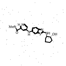 C=C(/C=C(\C=C/N)Nc1ccc2nc(N[C@@H]3CCCC[C@H]3O)sc2c1)C(=O)NC